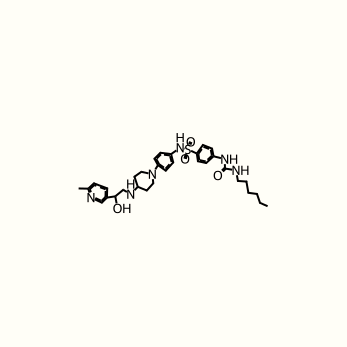 CCCCCCNC(=O)Nc1ccc(S(=O)(=O)Nc2ccc(N3CCC(NCC(O)c4ccc(C)nc4)CC3)cc2)cc1